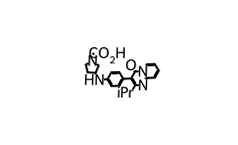 CC(C)c1nc2ccccn2c(=O)c1-c1ccc(NC2CCN(C(=O)O)C2)cc1